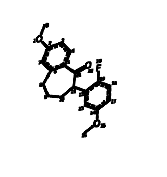 COc1ccc2c(c1)CCCC(c1cc(OC)ccc1F)C2=O